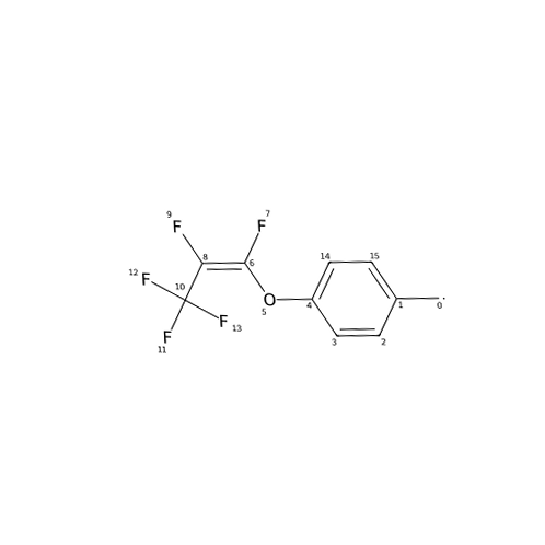 [CH2]c1ccc(O/C(F)=C(/F)C(F)(F)F)cc1